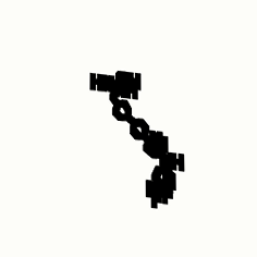 N=C(CC1CCC(c2ccc(-c3ccc(Nc4ccc(C(F)(F)F)nc4)nn3)cc2)CC1)NO